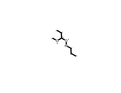 CCC[N]OC(CC)OC